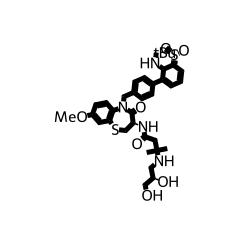 COc1ccc2c(c1)SC[C@@H](NC(=O)CC(C)(C)NC[C@H](O)CO)C(=O)N2Cc1ccc(C2=CC=CC(=S(=O)=O)C2NC(C)(C)C)cc1